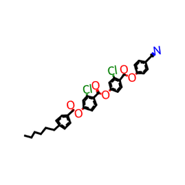 CCCCCCc1ccc(C(=O)Oc2ccc(C(=O)Oc3ccc(C(=O)Oc4ccc(C#N)cc4)c(Cl)c3)c(Cl)c2)cc1